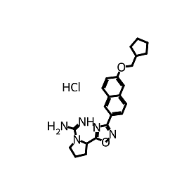 Cl.N=C(N)N1CCCC1c1nc(-c2ccc3cc(OCC4CCCC4)ccc3c2)no1